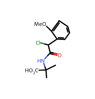 COc1ccccc1C(Cl)C(=O)NC(C)(C)C(=O)O